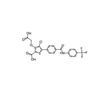 O=C(O)COc1c(C(=O)O)sc(-c2ccc(C(=O)Nc3ccc(C(F)(F)F)cc3)cc2)c1Cl